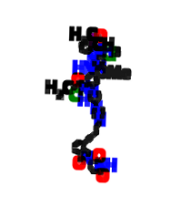 C=C(Cl)C(=O)Nc1cc(Nc2ncc(Cl)c(Nc3ccccc3P(C)(C)=O)n2)c(OC)cc1N1CCC(N2CCN(CCCC#Cc3cccc4c3CN(C3CCC(=O)NC3=O)C4=O)CC2)CC1